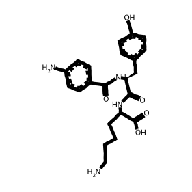 NCCCCC(NC(=O)[C@H](Cc1ccc(O)cc1)NC(=O)c1ccc(N)cc1)C(=O)O